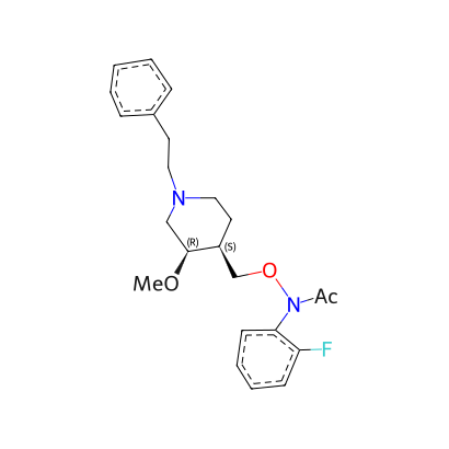 CO[C@H]1CN(CCc2ccccc2)CC[C@H]1CON(C(C)=O)c1ccccc1F